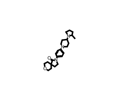 CC1CCCN1C1CCN(c2ccc(N3CCC4(CCOCC4)C3=O)cc2)CC1